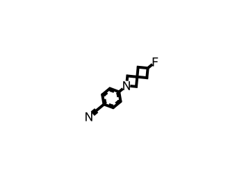 N#Cc1ccc(N2CC3(CC(F)C3)C2)cc1